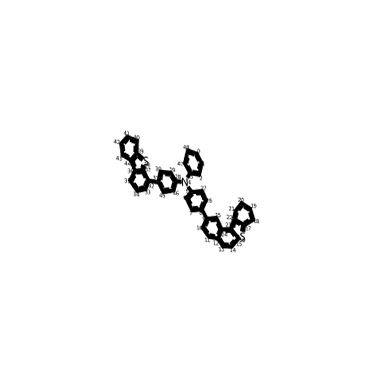 c1ccc(N(c2ccc(-c3ccc4ccc5sc6ccccc6c5c4c3)cc2)c2ccc(-c3cccc4c3sc3ccccc34)cc2)cc1